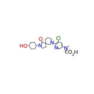 CN(C(=O)O)c1cnc(N2CCCC3(CCN(C4CCC(O)CC4)C3=O)C2)c(Cl)c1